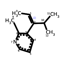 C/C=C(\c1cccnc1C)C(C)C